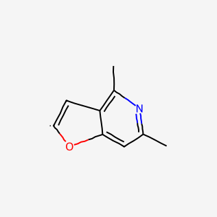 Cc1cc2o[c]cc2c(C)n1